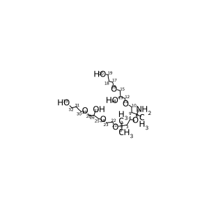 CC(C)(CCOC(C)(N)CCOCC(O)COCCCO)OCCOCC(O)COCCCO